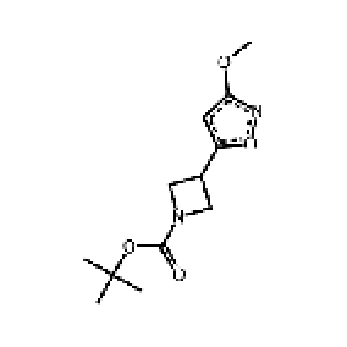 COc1cc(C2CN(C(=O)OC(C)(C)C)C2)on1